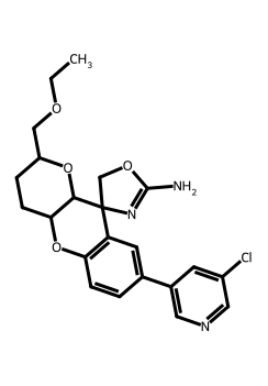 CCOCC1CCC2Oc3ccc(-c4cncc(Cl)c4)cc3C3(COC(N)=N3)C2O1